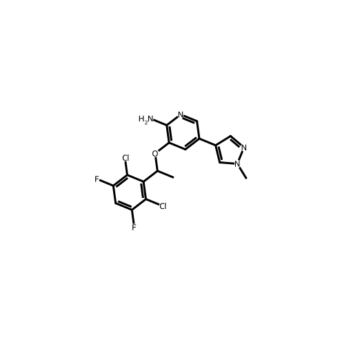 CC(Oc1cc(-c2cnn(C)c2)cnc1N)c1c(Cl)c(F)cc(F)c1Cl